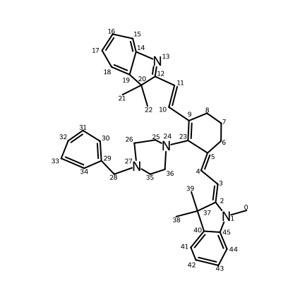 CN1/C(=C/C=C2\CCCC(/C=C/C3=Nc4ccccc4C3(C)C)=C2N2CCN(Cc3ccccc3)CC2)C(C)(C)c2ccccc21